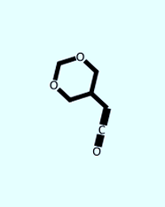 O=C=CC1COCOC1